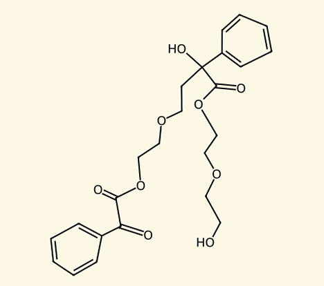 O=C(OCCOCCC(O)(C(=O)OCCOCCO)c1ccccc1)C(=O)c1ccccc1